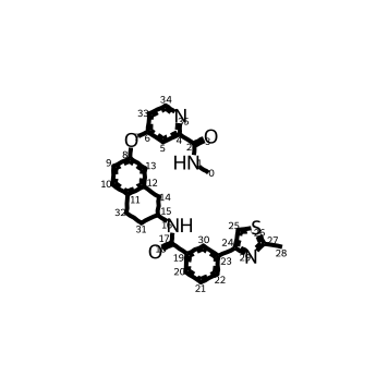 CNC(=O)c1cc(Oc2ccc3c(c2)CC(NC(=O)c2cccc(-c4csc(C)n4)c2)CC3)ccn1